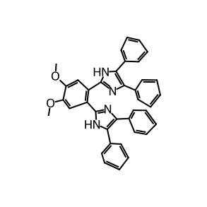 COc1cc(-c2nc(-c3ccccc3)c(-c3ccccc3)[nH]2)c(-c2nc(-c3ccccc3)c(-c3ccccc3)[nH]2)cc1OC